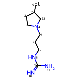 CCC1CCN(CCCNC(=N)N)C1